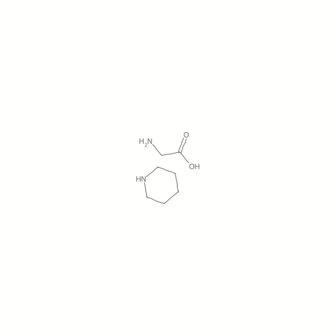 C1CCNCC1.NCC(=O)O